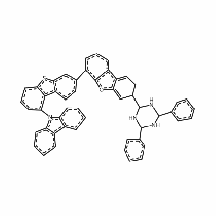 C1=c2oc3c(-c4ccc5c(c4)sc4cccc(-n6c7ccccc7c7ccccc76)c45)cccc3c2=CCC1C1NC(c2ccccc2)NC(c2ccccc2)N1